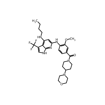 CCCCNc1cc(Nc2ccc(C(=O)N3CCC(N4CCOCC4)CC3)cc2OC)nc2[nH]cc(C(F)(F)F)c12